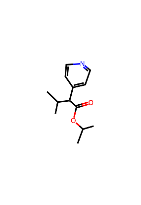 CC(C)OC(=O)C(c1ccncc1)C(C)C